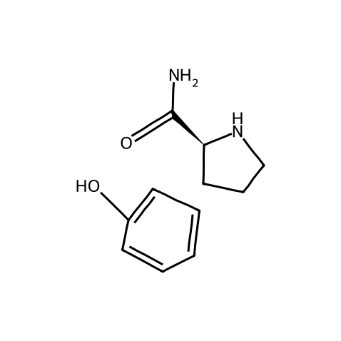 NC(=O)[C@@H]1CCCN1.Oc1ccccc1